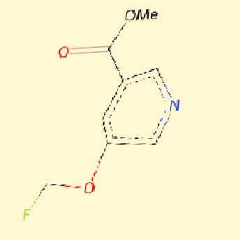 COC(=O)c1cncc(OCF)c1